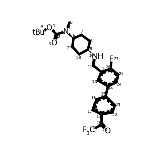 CN(C(=O)OC(C)(C)C)[C@H]1CC[C@H](NCc2cc(-c3ccc(C(=O)C(F)(F)F)cc3)ccc2F)CC1